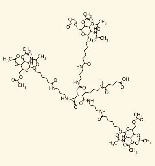 CC(=O)NC1C(OCCCCCC(=O)NCCCNC(=O)CN(C(CCCCNC(=O)CCCC(=O)O)C(=O)NCCCNC(=O)CCCCCOC2OC(COC(C)=O)C(OC(C)=O)C(OC(C)=O)C2NC(C)=O)C2C(=O)C2NCCCNC(=O)CCCCCOC2OC(COC(C)=O)C(OC(C)=O)C(OC(C)=O)C2NC(C)=O)OC(COC(C)=O)C(OC(C)=O)C1OC(C)=O